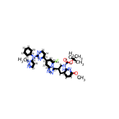 COc1ccc(CC(CNC(=O)OC(C)(C)C)c2nnc3cc(-c4ccnc(N(c5ccccc5)c5ccnn5C)n4)cc(F)n23)cn1